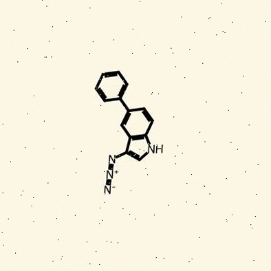 [N-]=[N+]=Nc1c[nH]c2ccc(-c3ccccc3)cc12